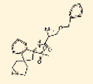 CS(=O)(=O)[N+]1(NC(=O)C(N)COCc2ccccc2)CC2(CCNCC2)c2ccccc21